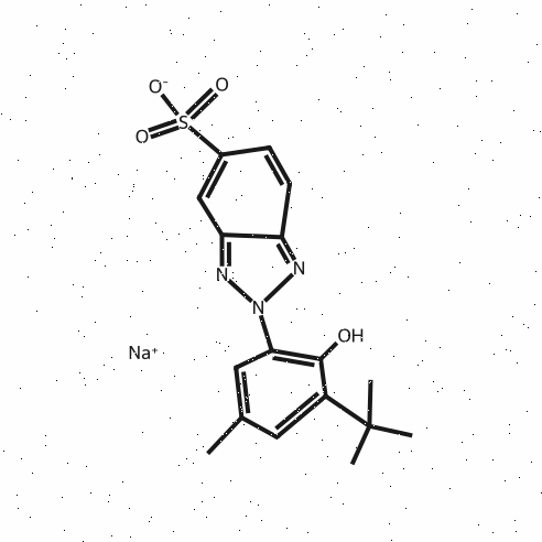 Cc1cc(-n2nc3ccc(S(=O)(=O)[O-])cc3n2)c(O)c(C(C)(C)C)c1.[Na+]